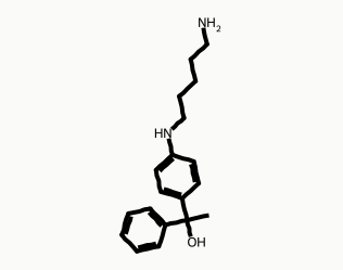 CC(O)(c1ccccc1)c1ccc(NCCCCCN)cc1